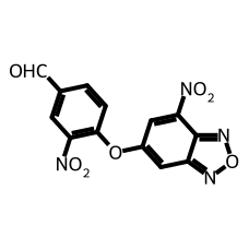 O=Cc1ccc(Oc2cc([N+](=O)[O-])c3nonc3c2)c([N+](=O)[O-])c1